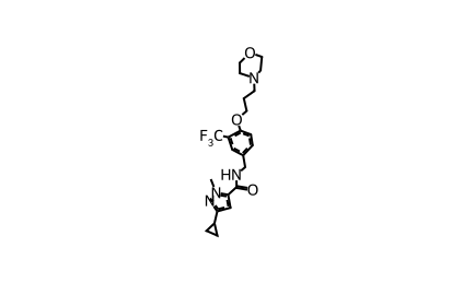 Cn1nc(C2CC2)cc1C(=O)NCc1ccc(OCCCN2CCOCC2)c(C(F)(F)F)c1